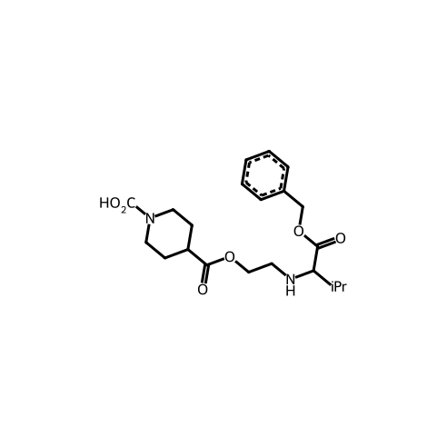 CC(C)C(NCCOC(=O)C1CCN(C(=O)O)CC1)C(=O)OCc1ccccc1